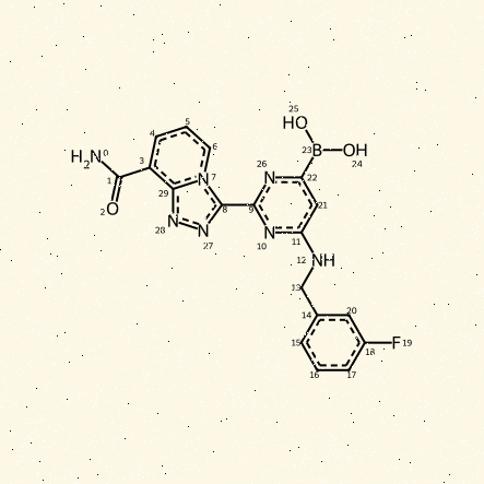 NC(=O)c1cccn2c(-c3nc(NCc4cccc(F)c4)cc(B(O)O)n3)nnc12